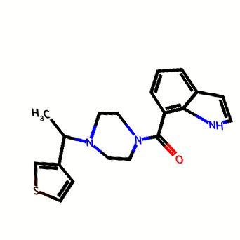 CC(c1ccsc1)N1CCN(C(=O)c2cccc3cc[nH]c23)CC1